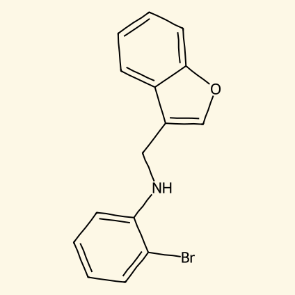 Brc1ccccc1NCc1coc2ccccc12